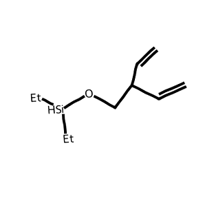 C=CC(C=C)CO[SiH](CC)CC